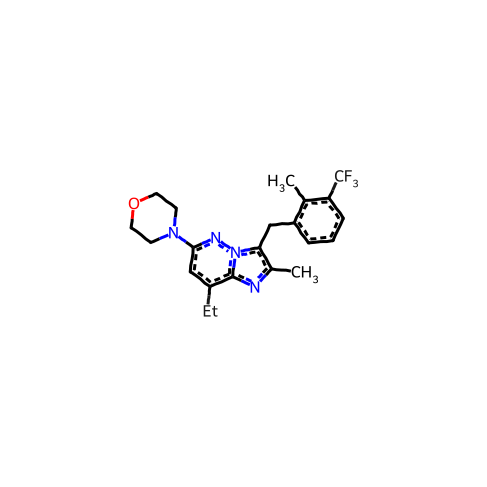 CCc1cc(N2CCOCC2)nn2c(Cc3cccc(C(F)(F)F)c3C)c(C)nc12